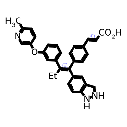 CC/C(=C(/c1ccc(/C=C/C(=O)O)cc1)c1ccc2c(c1)CNN2)c1cccc(Oc2ccc(C)nc2)c1